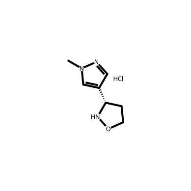 Cl.Cn1cc([C@@H]2CCON2)cn1